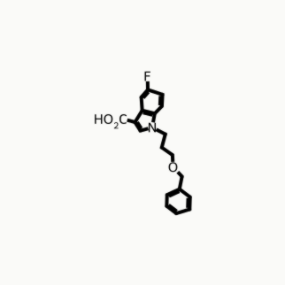 O=C(O)c1cn(CCCOCc2ccccc2)c2ccc(F)cc12